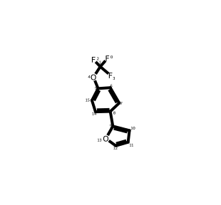 FC(F)(F)Oc1ccc(-c2ccco2)cc1